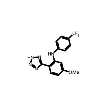 COc1ccc(-c2nn[nH]n2)c(Nc2ccc(C(F)(F)F)cc2)c1